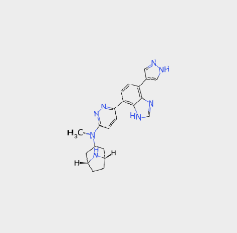 CN(c1ccc(-c2ccc(-c3cn[nH]c3)c3nc[nH]c23)nn1)C1C[C@H]2CC[C@@H](C1)N2